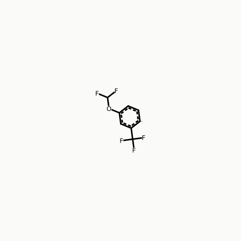 FC(F)Oc1cc[c]c(C(F)(F)F)c1